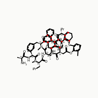 CCSSc1cccc(C)c1OC(=O)C[C@H](NC(=O)[C@H](Cc1ccccc1)NC(=O)[C@H](C(C)C)N(C)C(=O)[C@H](CC(C)C)N(C)C(=O)CNC(=O)[C@H](Cc1ccccc1)N(C)C(=O)[C@@H](NC(=O)[C@H](CC(C)C)N(C)C(=O)[C@@H](NC(=O)[C@H](C)N)C(C)C)[C@@H](C)O)C(=O)N(C)C(Cc1ccccc1)C(=O)N[C@@H](C)C(=O)N1CCCCC1